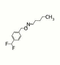 CCCCC=NOCc1ccc(C(F)F)cc1